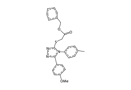 COc1ccc(-c2nnc(SCC(=O)OCc3ccccc3)n2-c2ccc(C)cc2)cc1